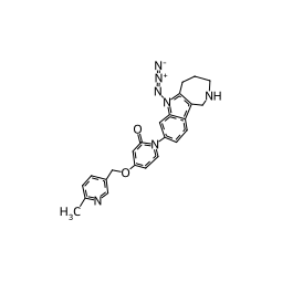 Cc1ccc(COc2ccn(-c3ccc4c5c(n(N=[N+]=[N-])c4c3)CCCNC5)c(=O)c2)cn1